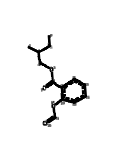 CCC(C)COC(=O)c1ccccc1OC=O